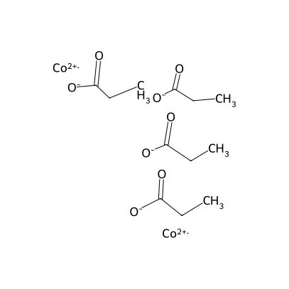 CCC(=O)[O-].CCC(=O)[O-].CCC(=O)[O-].CCC(=O)[O-].[Co+2].[Co+2]